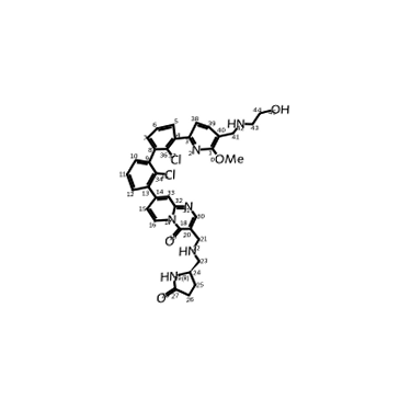 COc1nc(-c2cccc(-c3cccc(-c4ccn5c(=O)c(CNC[C@H]6CCC(=O)N6)cnc5c4)c3Cl)c2Cl)ccc1CNCCO